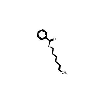 CC=CCCCCOC(=O)c1ccccc1